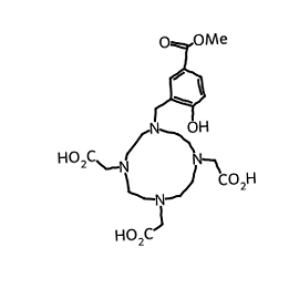 COC(=O)c1ccc(O)c(CN2CCN(CC(=O)O)CCN(CC(=O)O)CCN(CC(=O)O)CC2)c1